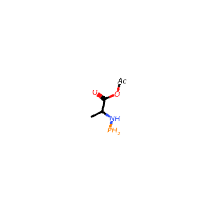 CC(=O)OC(=O)C(C)NP